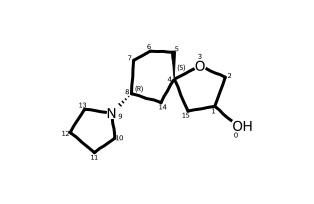 OC1CO[C@]2(CCC[C@@H](N3CCCC3)C2)C1